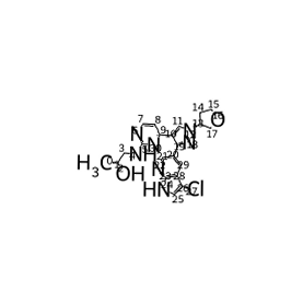 C[C@H](O)CNc1nccc(-c2cn(C3CCOC3)nc2-c2cnc3[nH]cc(Cl)c3c2)n1